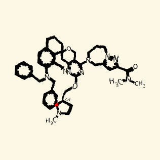 CN1CC[C@H](COc2nc3c(c(N4CCCn5nc(C(=O)N(C)C)cc5C4)n2)COC2(CCCc4ccc(N(Cc5ccccc5)Cc5ccccc5)c(C#N)c42)C3)C1